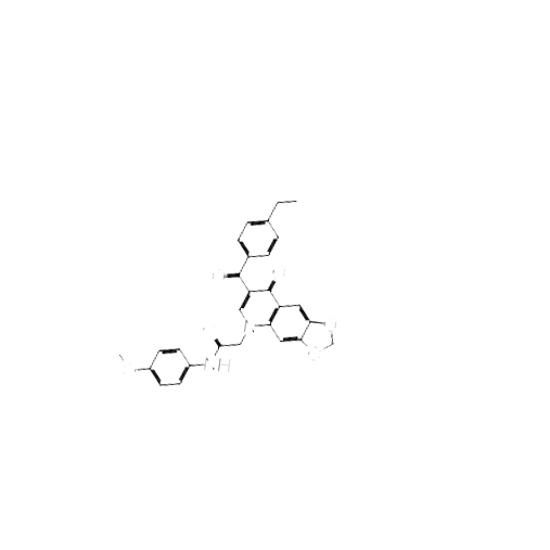 CCc1ccc(C(=O)c2cn(CC(=O)Nc3ccc(OC)cc3)c3cc4c(cc3c2=O)OCO4)cc1